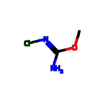 COC(N)=NCl